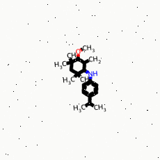 [CH2]C1C(Nc2ccc(C(C)C)cc2)C(C)(C)CC(C)(C)C1OC